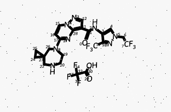 O=C(Nc1cn(CC(F)(F)F)nc1C(F)(F)F)c1cnn2ccc(N3CCNCC4(CC4)C3)nc12.O=C(O)C(F)(F)F